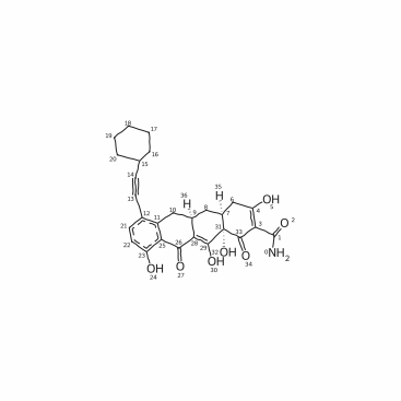 NC(=O)C1=C(O)C[C@@H]2C[C@@H]3Cc4c(C#CC5CCCCC5)ccc(O)c4C(=O)C3=C(O)[C@]2(O)C1=O